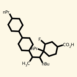 CCCCC(C(C)C1CCC(C2CCC(CCC)CC2)CC1)C1(CCC)CCC(C(=O)O)CC1F